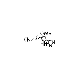 COc1cc2c(cc1OCCCN1CCCC1)[nH]c1ncncc12